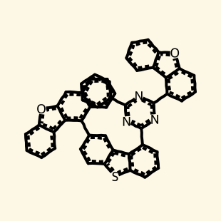 c1ccc(-c2nc(-c3cccc4oc5ccccc5c34)nc(-c3cccc4sc5ccc(-c6c7ccccc7cc7oc8ccccc8c67)cc5c34)n2)cc1